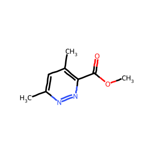 COC(=O)c1nnc(C)cc1C